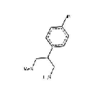 CNCC(CN)c1ccc(C(C)C)cc1